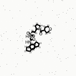 O=C(Nc1c2c(cc3c1CCC3)CCC2)NS(=O)(=O)C=CC1CCCN1C(=O)C1CCOCC1